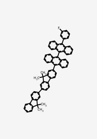 CC1(C)c2ccccc2-c2ccc(-c3ccc4c(c3)C(C)(C)c3cc(-c5c6ccccc6c(-c6c7ccccc7c(-c7cccc(F)c7)c7ccccc67)c6ccccc56)ccc3-4)cc21